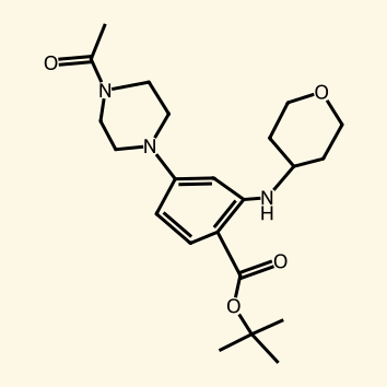 CC(=O)N1CCN(c2ccc(C(=O)OC(C)(C)C)c(NC3CCOCC3)c2)CC1